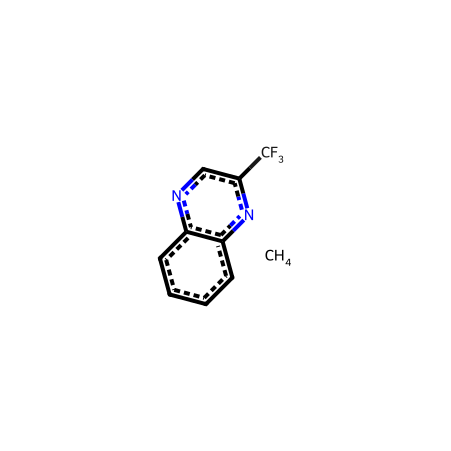 C.FC(F)(F)c1cnc2ccccc2n1